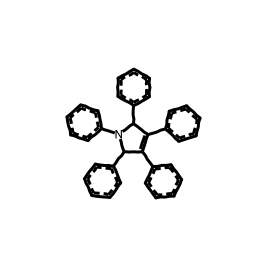 c1ccc(C2=C(c3ccccc3)C(c3ccccc3)N(c3ccccc3)C2c2ccccc2)cc1